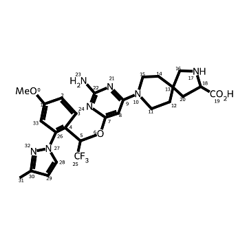 COc1ccc(C(Oc2cc(N3CCC4(CC3)CNC(C(=O)O)C4)nc(N)n2)C(F)(F)F)c(-n2ccc(C)n2)c1